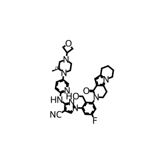 C[C@H]1CN(C2COC2)CCN1c1ccc(Nc2nn(-c3cc(F)cc(N4CCc5c(cc6n5CCCC6)C4=O)c3CO)cc2C#N)nc1